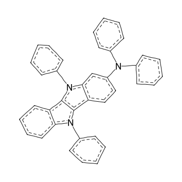 c1ccc(N(c2ccccc2)c2ccc3c(c2)n(-c2ccccc2)c2c4ccccc4n(-c4ccccc4)c32)cc1